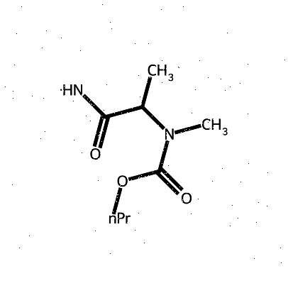 CCCOC(=O)N(C)C(C)C([NH])=O